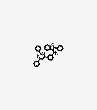 c1ccc(-c2cc(-c3cccc(-c4nc5ccccc5c5sc6ccccc6c45)c3)nc(-c3ccccc3)n2)cc1